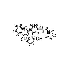 CC1=C(c2cccc(O)c2)C(c2ccc(OCCN3CCCC3)nc2)Oc2ccccc21